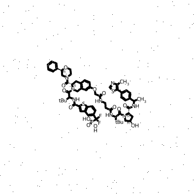 Cc1ncsc1-c1ccc(C(C)NC(=O)[C@@H]2C[C@@H](O)CN2C(=O)C(NC(=O)CCNC(=O)COc2ccc3c(c2)CN(C(=O)C(NC(=O)c2cc4cc(C(F)(F)P(=O)(O)O)ccc4s2)C(C)(C)C)[C@H](C(=O)N2CCO[C@H](c4ccccc4)C2)C3)C(C)(C)C)cc1